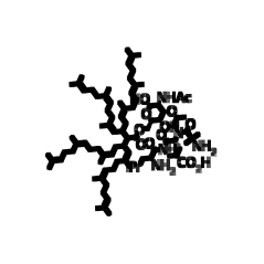 CC(=O)N[C@@H]1[C@@H](OC(C)CN(C(=O)C(C)(C)N)[C@H](CC(C)C(=O)O)C(=O)NC(=O)[C@@H](N)CC(C)C)[C@H](O)[C@@H](COC(=O)C(C(C=C(C)CCC=C(C)CCC=C(C)C)CC=C(C)CCC=C(C)CCC=C(C)C)C(C=C(C)CCC=C(C)CCC=C(C)C)CC=C(C)CCC=C(C)CCC=C(C)C)O[C@@H]1O